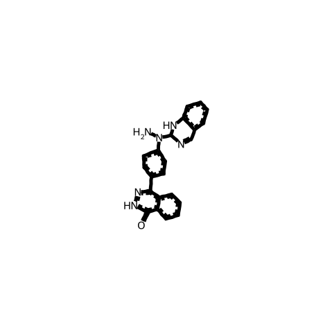 NN(c1ccc(-c2n[nH]c(=O)c3ccccc23)cc1)C1N=Cc2ccccc2N1